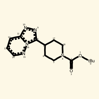 CC(C)(C)OC(=O)N1CCC(c2nnc3cccnn23)CC1